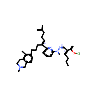 C=C(C)CC/C=C(\CCCc1ccc2c(c1C)CCN(C)C2)c1cccc(N(C)/N=C\C(=C\CCC)C(=C)OCl)n1